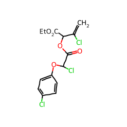 C=C(Cl)C(OC(=O)C(Cl)Oc1ccc(Cl)cc1)C(=O)OCC